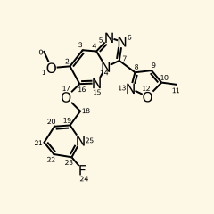 COc1cc2nnc(-c3cc(C)on3)n2nc1OCc1cccc(F)n1